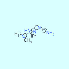 Cc1cc(-c2[nH]c3cc4c(nc3c2C(C)C)CN(CC23CCC(N)(CC2)C3)CC4)cc(C)n1